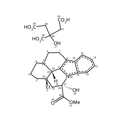 CC[C@]12CCCN3CCc4c(n(c5ccccc45)[C@@](O)(C(=O)OC)C1)[C@@H]32.O=C(O)CC(O)(CC(=O)O)C(=O)O